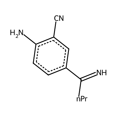 CCCC(=N)c1ccc(N)c(C#N)c1